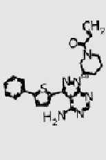 C=CC(=O)N1CCC[C@H](n2nc(-c3ccc(-c4ccccc4)s3)c3c(N)ncnc32)C1